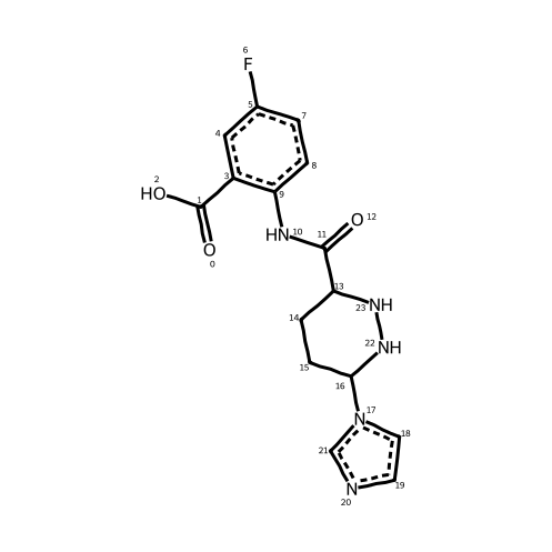 O=C(O)c1cc(F)ccc1NC(=O)C1CCC(n2ccnc2)NN1